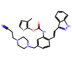 Cc1ccsc1OC(=O)Nc1cc(CN2CCN(CCC#N)CC2)ccc1/C=C/c1n[nH]c2ccccc12